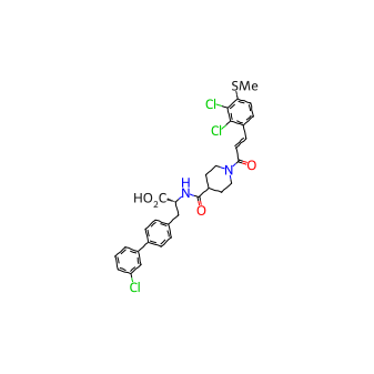 CSc1ccc(/C=C/C(=O)N2CCC(C(=O)N[C@@H](Cc3ccc(-c4cccc(Cl)c4)cc3)C(=O)O)CC2)c(Cl)c1Cl